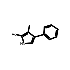 CC(=O)c1[nH]cc(-c2ccccc2)c1C